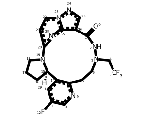 O=C1NN(CC(F)(F)F)CCc2ncc(F)cc2[C@H]2CCCN2c2ccn3ncc1c3n2